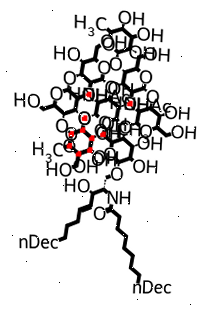 CCCCCCCCCCCCC/C=C/[C@@H](O)[C@H](CO[C@@H]1OC(CO)[C@@H](O[C@@H]2OC(CO)[C@H](O)[C@H](O[C@@H]3OC(CO)[C@@H](O[C@H]4OC(C)[C@@H](O)C(O)[C@@H]4O)[C@H](O[C@@H]4OC(CO)[C@H](O)[C@H](O[C@@H]5OC(CO)[C@@H](O[C@@H]6OC(CO)[C@H](O)[C@H](O)C6O[C@H]6OC(C)[C@@H](O)C(O)[C@@H]6O)[C@H](O[C@H]6OC(C)[C@@H](O)C(O)[C@@H]6O)C5NC(C)=O)C4O)C3NC(C)=O)C2O)[C@H](O)C1O)NC(=O)CCCCCCCCCCCCCCCCC